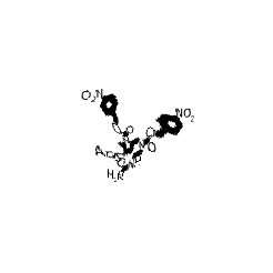 CC(=O)S[C@H]1CC(CN(CCNC(N)=O)C(=O)OCc2ccc([N+](=O)[O-])cc2)N(C(=O)OCc2ccc([N+](=O)[O-])cc2)C1